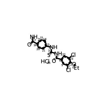 CCOc1c(Cl)cc(C(=O)NC(=S)Nc2ccc(C(N)=O)cc2)cc1Cl.Cl